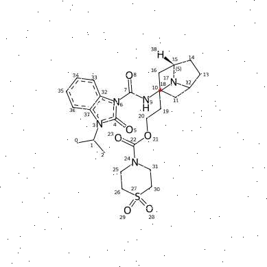 CC(C)n1c(=O)n(C(=O)NC2CC3CC[C@@H](C2)N3CCCOC(=O)N2CCS(=O)(=O)CC2)c2ccccc21